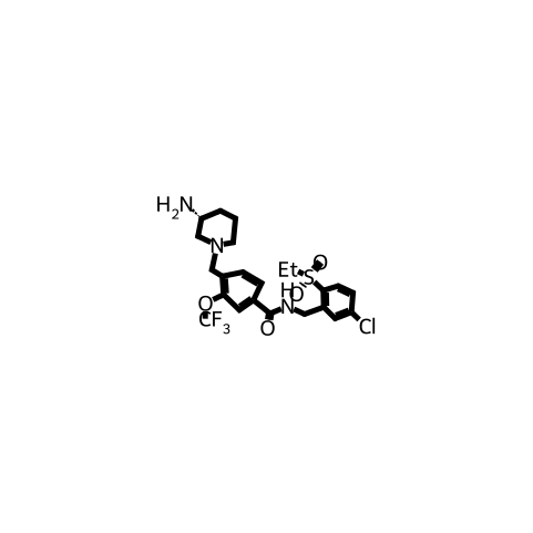 CCS(=O)(=O)c1ccc(Cl)cc1CNC(=O)c1ccc(CN2CCC[C@@H](N)C2)c(OC(F)(F)F)c1